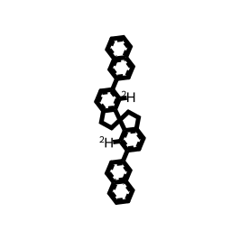 [2H]c1c(-c2ccc3ccccc3c2)ccc2c1C1(CC2)CCc2ccc(-c3ccc4ccccc4c3)c([2H])c21